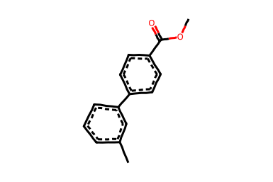 COC(=O)c1ccc(-c2cccc(C)c2)cc1